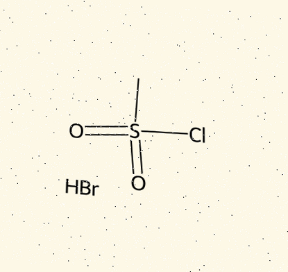 Br.CS(=O)(=O)Cl